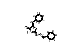 O=C1NC(=NN=Cc2ccccc2)SC1=Cc1ccccc1